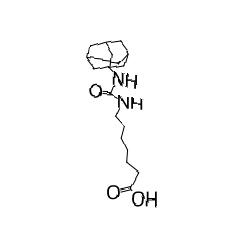 O=C(O)CCCCCCNC(=O)NC12CC3CC(CC(C3)C1)C2